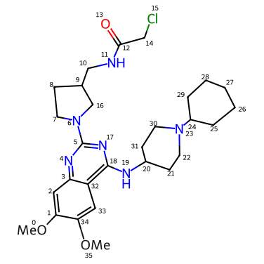 COc1cc2nc(N3CCC(CNC(=O)CCl)C3)nc(NC3CCN(C4CCCCC4)CC3)c2cc1OC